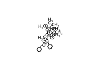 COC(=O)[C@@H](NC(=O)[C@](N)(C(=O)C1([PH](=O)C(CN(C(=O)OCc2ccccc2)c2ccccc2)OC)CCCC1)C(C)C)C(C)C